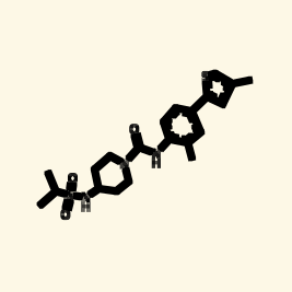 Cc1csc(-c2ccc(NC(=O)N3CCC(NS(=O)(=O)C(C)C)CC3)c(C)c2)c1